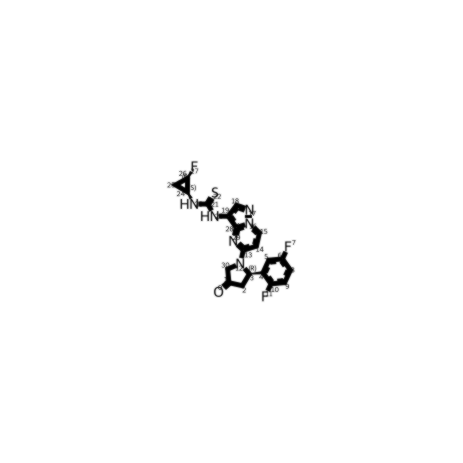 O=C1C[C@H](c2cc(F)ccc2F)N(c2ccn3ncc(NC(=S)N[C@H]4C[C@H]4F)c3n2)C1